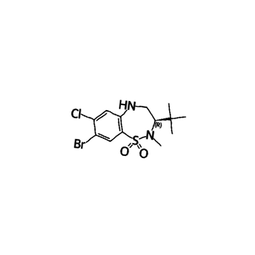 CN1[C@H](C(C)(C)C)CNc2cc(Cl)c(Br)cc2S1(=O)=O